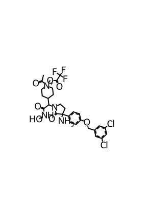 CC(=O)[N+]1(OC(=O)C(F)(F)F)CCC(C(C(=O)NO)N2CCC(N)(c3ccc(OCc4cc(Cl)cc(Cl)c4)cc3)C2=O)CC1